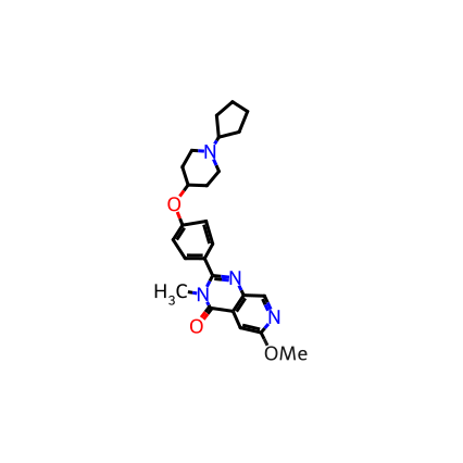 COc1cc2c(=O)n(C)c(-c3ccc(OC4CCN(C5CCCC5)CC4)cc3)nc2cn1